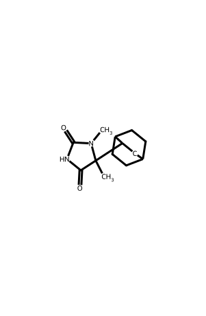 CN1C(=O)NC(=O)C1(C)C1CC2CCC1CC2